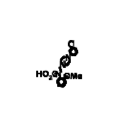 COc1ccccc1N(CCN1CCN(c2cccc(Cl)c2)CC1)C(=O)O